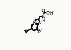 O=C(O)NCc1cn2cc(C3CC3)cc(Br)c2n1